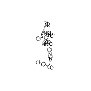 C[C@@H]1CC[C@H](C)N1CCC[C@H](CSc1ccccc1)Nc1ccc(S(=O)(=O)NC(=O)c2ccc(N3CCN(CCC4=C(c5ccc(Cl)cc5)CCOC4)CC3)cc2)cc1[N+](=O)[O-]